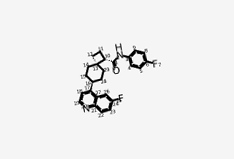 O=C(Nc1ccc(F)cc1)[C@H]1CC[C@]12CC[C@H](c1ccnc3ccc(F)cc31)CC2